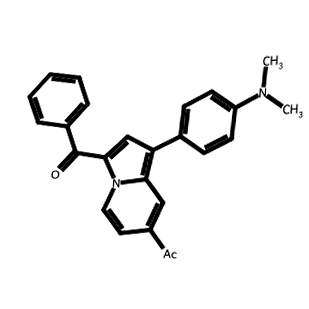 CC(=O)c1ccn2c(C(=O)c3ccccc3)cc(-c3ccc(N(C)C)cc3)c2c1